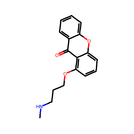 CNCCCOc1cccc2oc3ccccc3c(=O)c12